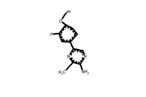 Cc1nc(-c2ccc(OC(C)C)c(F)c2)cnc1N